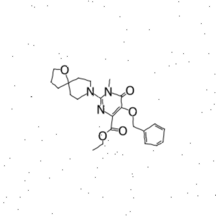 CCOC(=O)c1nc(N2CCC3(CCCO3)CC2)n(C)c(=O)c1OCc1ccccc1